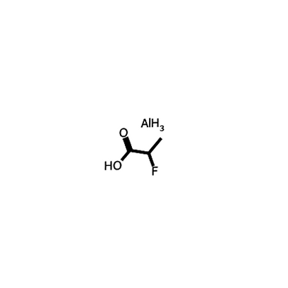 CC(F)C(=O)O.[AlH3]